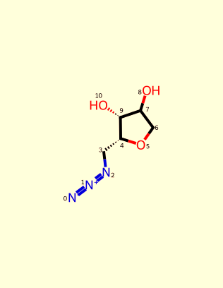 [N-]=[N+]=NC[C@H]1OCC(O)[C@H]1O